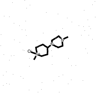 CN1CCN(C2CC[N+](C)([O-])CC2)CC1